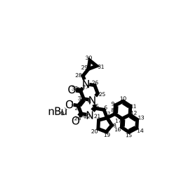 CCCCOc1c2n(c(CC3(c4cccc5ccccc45)CCCC3)nc1=O)CCN(CC1CC1)C2=O